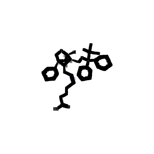 CC(C)(C)[Si](OC[C@@H]1[C@@H](C/C=C\CCCC(=O)O)[C@@]2(c3ccccc3)CO[C@@H]1C2)(c1ccccc1)c1ccccc1